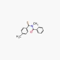 Cc1ccc(C(=S)N(C)C(=O)c2ccccc2)cc1